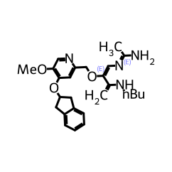 C=C(NCCCC)/C(=C\N=C(/C)N)OCc1cc(OC2Cc3ccccc3C2)c(OC)cn1